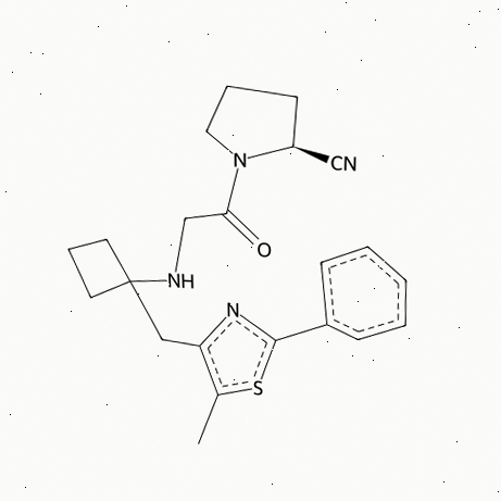 Cc1sc(-c2ccccc2)nc1CC1(NCC(=O)N2CCC[C@H]2C#N)CCC1